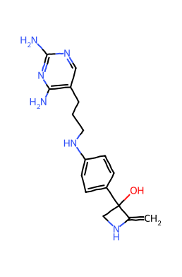 C=C1NCC1(O)c1ccc(NCCCc2cnc(N)nc2N)cc1